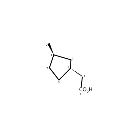 C[C@@H]1CC[C@@H](CC(=O)O)C1